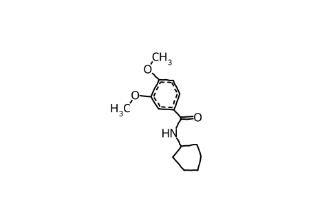 COc1ccc(C(=O)NC2CCCCC2)cc1OC